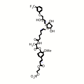 COc1cc(/C=C/C(=O)OCCO[N+](=O)[O-])ccc1OC(=O)C(C)NC(=O)CCC/C=C\C[C@@H]1[C@@H](/C=C/[C@@H](O)COc2cccc(C(F)(F)F)c2)[C@H](O)C[C@@H]1O